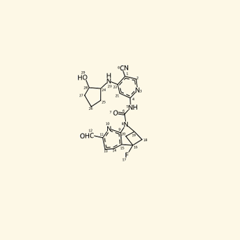 N#Cc1cnc(NC(=O)N2c3nc(C=O)ccc3C3(F)CC2C3)cc1NC1CCCC1O